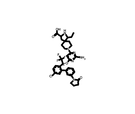 CCC1NC(C(=O)O)CC12CCN(c1cc(O[C@H](c3ccc(Cl)cc3-c3cccc(N4CCCC4=O)c3)C(F)(F)F)nc(N)n1)CC2